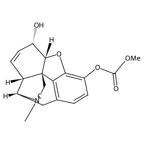 COC(=O)Oc1ccc2c3c1O[C@H]1[C@@H](O)C=C[C@H]4[C@@H](C2)N(C)CC[C@@]341